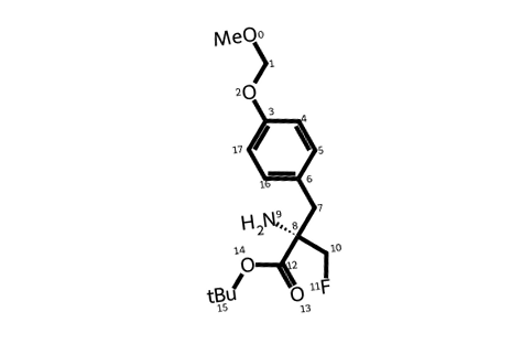 COCOc1ccc(C[C@@](N)(CF)C(=O)OC(C)(C)C)cc1